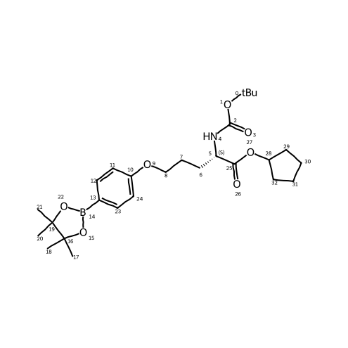 CC(C)(C)OC(=O)N[C@@H](CCCOc1ccc(B2OC(C)(C)C(C)(C)O2)cc1)C(=O)OC1CCCC1